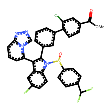 COC(=O)c1ccc(-c2cccc(-c3c(-c4cccc5nncn45)c4cc(F)ccc4n3[S+]([O-])c3ccc(C(F)F)cc3)c2)c(Cl)c1